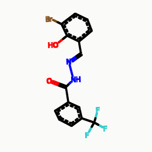 O=C(NN=Cc1cccc(Br)c1O)c1cccc(C(F)(F)F)c1